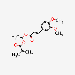 C=C(C)C(=O)OC(C)OC(=O)C=Cc1ccc(OC)c(OC)c1